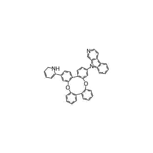 C1=CCNC(c2ccc3c(c2)Oc2ccccc2-c2ccccc2Oc2cc(-n4c5ccccc5c5ccncc54)ccc2-3)=C1